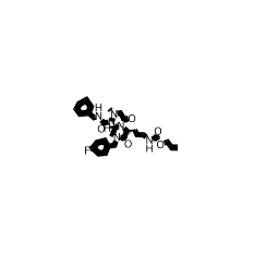 C=CCOC(=O)NCCC[C@H]1C(=O)N(Cc2ccc(F)cc2)C[C@H]2N1C(=O)CN(C)N2C(=O)NCc1ccccc1